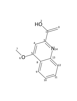 C=C(O)c1cc(OC)c2ccccc2n1